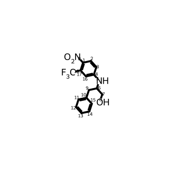 O=[N+]([O-])c1ccc(NC(CO)Cc2ccccc2)cc1C(F)(F)F